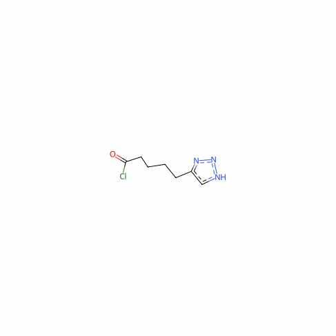 O=C(Cl)CCCCc1c[nH]nn1